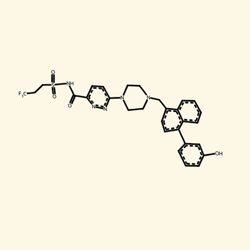 O=C(NS(=O)(=O)CCC(F)(F)F)c1ccc(N2CCN(Cc3ccc(-c4cccc(O)c4)c4ccccc34)CC2)nn1